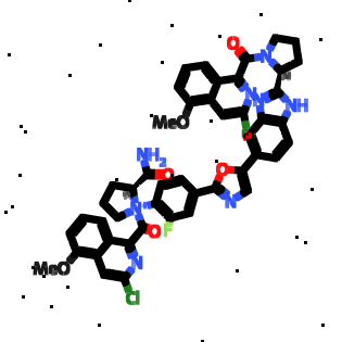 COc1cccc2c(C(=O)N3CCC[C@H]3c3nc4cc(-c5cnc(-c6ccc([N+]7(C(=O)c8nc(Cl)cc9c(OC)cccc89)CCC[C@H]7C(N)=O)c(F)c6)o5)ccc4[nH]3)nc(Cl)cc12